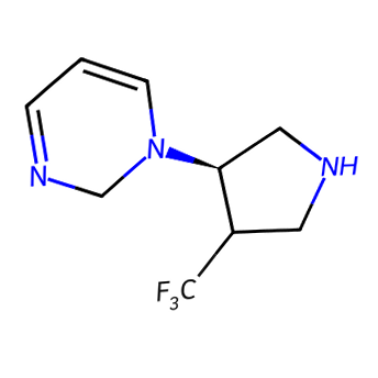 FC(F)(F)C1CNC[C@@H]1N1C=CC=NC1